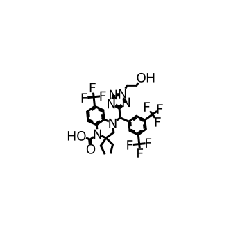 CCC1(CC)CN(C(c2cc(C(F)(F)F)cc(C(F)(F)F)c2)c2nnn(CCO)n2)c2cc(C(F)(F)F)ccc2N1C(=O)O